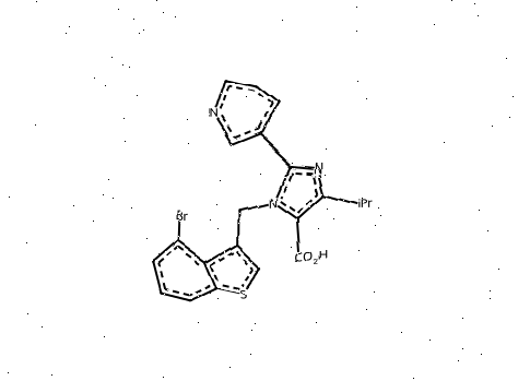 CC(C)c1nc(-c2cccnc2)n(Cc2csc3cccc(Br)c23)c1C(=O)O